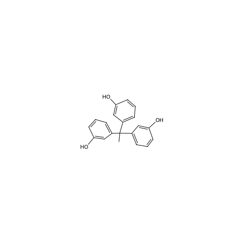 CC(c1cccc(O)c1)(c1cccc(O)c1)c1cccc(O)c1